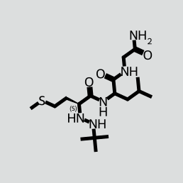 CSCC[C@H](NNC(C)(C)C)C(=O)NC(CC(C)C)C(=O)NCC(N)=O